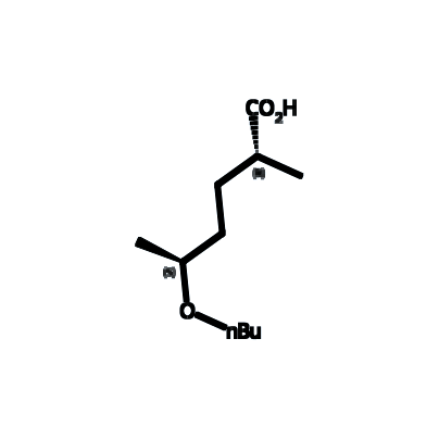 CCCCO[C@@H](C)CC[C@@H](C)C(=O)O